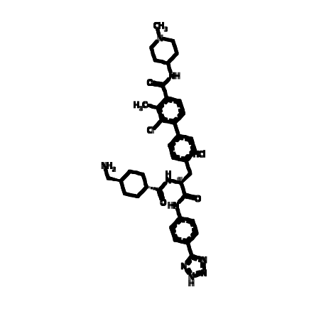 Cc1c(C(=O)NC2CCN(C)CC2)ccc(-c2ccc(C[C@H](NC(=O)[C@H]3CC[C@H](CN)CC3)C(=O)Nc3ccc(-c4nn[nH]n4)cc3)cc2)c1Cl.Cl